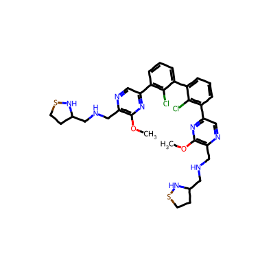 COc1nc(-c2cccc(-c3cccc(-c4cnc(CNCC5CCSN5)c(OC)n4)c3Cl)c2Cl)cnc1CNCC1CCSN1